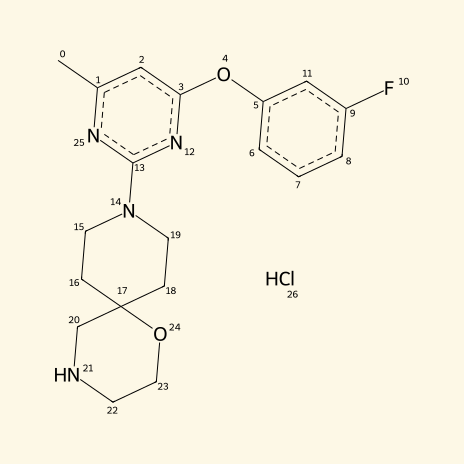 Cc1cc(Oc2cccc(F)c2)nc(N2CCC3(CC2)CNCCO3)n1.Cl